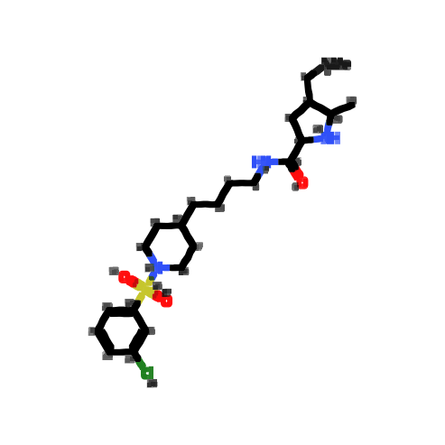 CNCC1CC(C(=O)NCCCCC2CCN(S(=O)(=O)c3cccc(Cl)c3)CC2)NC1C